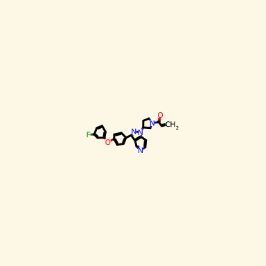 C=CC(=O)N1CCC(n2nc(-c3ccc(Oc4cccc(F)c4)cc3)c3cnccc32)C1